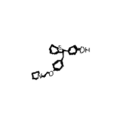 Oc1ccc(-c2sc3ccccc3c2Cc2ccc(OCCN3CCCC3)cc2)cc1